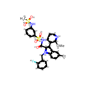 CCc1ccc2c(c1)c(-c1cccnc1OC)c(C(=O)NS(=O)(=O)c1cccc(NS(C)(=O)=O)c1)n2Cc1ccccc1F